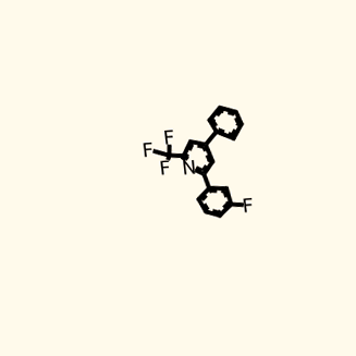 Fc1cccc(-c2cc(-c3ccccc3)cc(C(F)(F)F)n2)c1